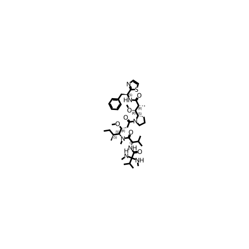 CC[C@H](C)[C@@H]([C@@H](CC(=O)N1CCC[C@H]1[C@H](OC)[C@@H](C)C(=O)N[C@@H](Cc1ccccc1)c1nccs1)OC)N(C)C(=O)[C@@H](NC(=O)C(NC)(NC)C(C)C)C(C)C